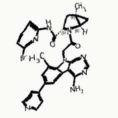 Cc1cc(-c2ccncc2)cc2c3c(N)ncnc3n(CC(=O)N3[C@H](C(=O)Nc4cccc(Br)n4)C[C@@]4(C)C[C@@H]34)c12